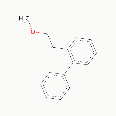 COC[CH]c1ccccc1-c1ccccc1